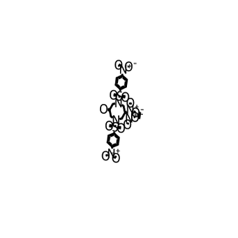 C=C.O=C1CN(S(=O)(=O)c2ccc([N+](=O)[O-])cc2)CC([N+](=O)[O-])([N+](=O)[O-])CN(S(=O)(=O)c2ccc([N+](=O)[O-])cc2)C1